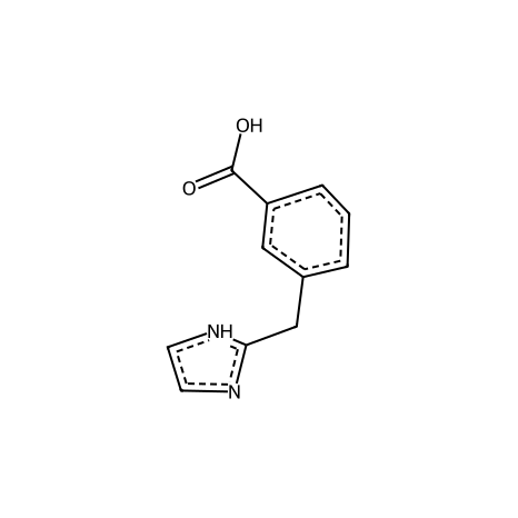 O=C(O)c1cccc(Cc2ncc[nH]2)c1